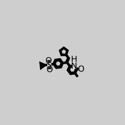 Cc1ccc(/C(=C/C2CCCC2)c2ccc(S(=O)(=O)C3CC3)cc2)[nH]c1=O